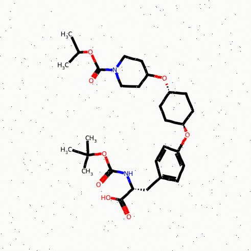 CC(C)OC(=O)N1CCC(O[C@H]2CC[C@H](Oc3ccc(C[C@@H](NC(=O)OC(C)(C)C)C(=O)O)cc3)CC2)CC1